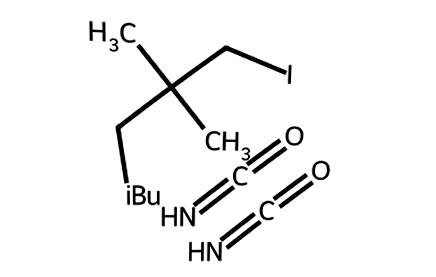 CCC(C)CC(C)(C)CI.N=C=O.N=C=O